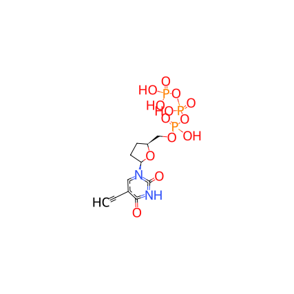 C#Cc1cn([C@H]2CC[C@@H](COP(=O)(O)OP(=O)(O)OP(=O)(O)O)O2)c(=O)[nH]c1=O